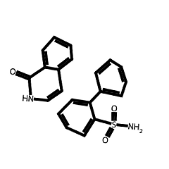 NS(=O)(=O)c1ccccc1-c1ccccc1.O=c1[nH]ccc2ccccc12